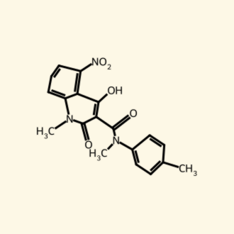 Cc1ccc(N(C)C(=O)c2c(O)c3c([N+](=O)[O-])cccc3n(C)c2=O)cc1